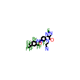 N#CCCN(C(=O)c1cnc(F)nc1)c1cccc(C(=O)Nc2c(Br)cc(C(F)(C(F)(F)F)C(F)(F)F)cc2C(F)(F)F)c1F